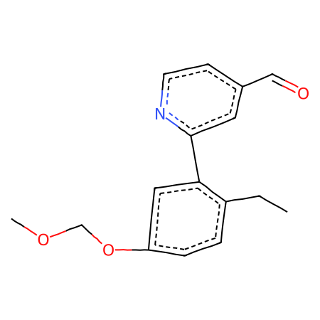 CCc1ccc(OCOC)cc1-c1cc(C=O)ccn1